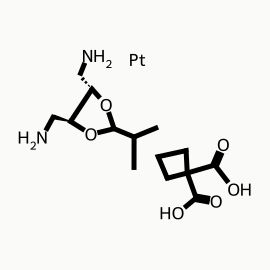 CC(C)C1O[C@@H](CN)[C@H](CN)O1.O=C(O)C1(C(=O)O)CCC1.[Pt]